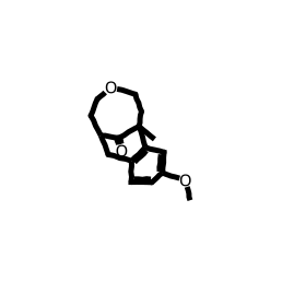 COc1ccc2c(c1)C1(C)CCOCCC(C2)C1=O